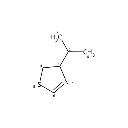 CC(C)C1CSC=N1